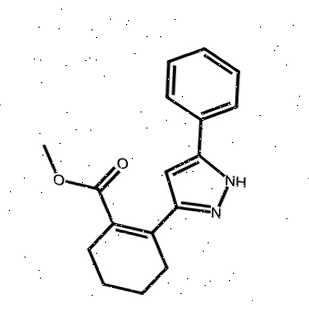 COC(=O)C1=C(c2cc(-c3ccccc3)[nH]n2)CCCC1